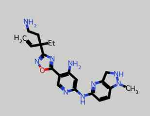 C=CC(CC)(CCN)c1noc(-c2cnc(Nc3ccc4c(n3)CNN4C)cc2N)n1